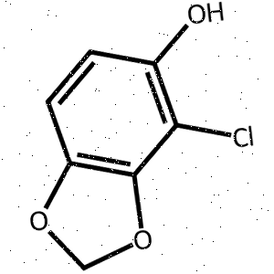 Oc1ccc2c(c1Cl)OCO2